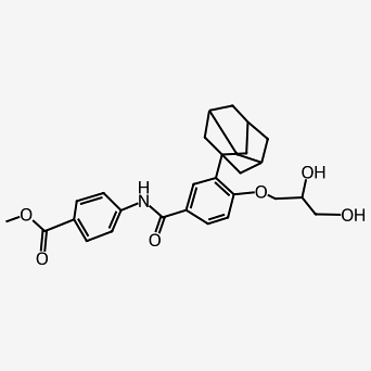 COC(=O)c1ccc(NC(=O)c2ccc(OCC(O)CO)c(C34CC5CC(CC(C5)C3)C4)c2)cc1